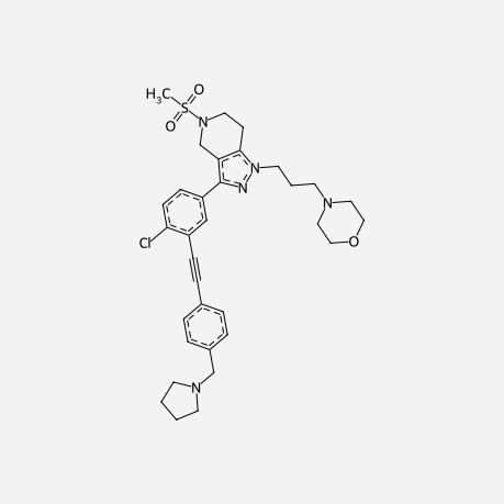 CS(=O)(=O)N1CCc2c(c(-c3ccc(Cl)c(C#Cc4ccc(CN5CCCC5)cc4)c3)nn2CCCN2CCOCC2)C1